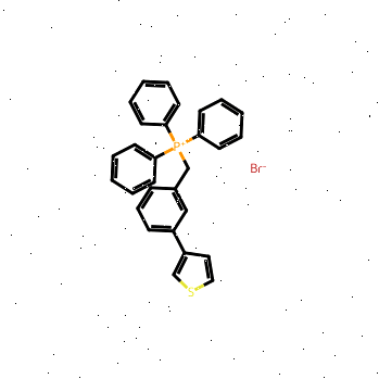 [Br-].c1ccc([P+](Cc2cccc(-c3ccsc3)c2)(c2ccccc2)c2ccccc2)cc1